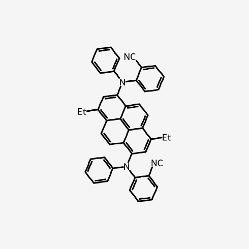 [C-]#[N+]c1ccccc1N(c1ccccc1)c1cc(CC)c2ccc3c(N(c4ccccc4)c4ccccc4C#N)cc(CC)c4ccc1c2c43